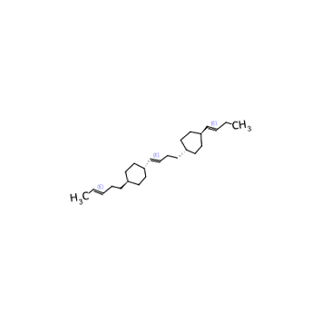 C/C=C/CC[C@H]1CC[C@H](/C=C/CC[C@H]2CC[C@H](/C=C/CC)CC2)CC1